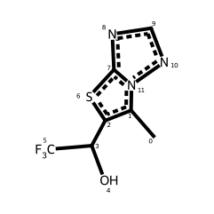 Cc1c(C(O)C(F)(F)F)sc2ncnn12